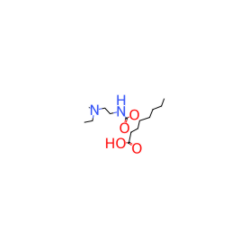 CCCCC(CCC(=O)O)OC(=O)NCCN(C)CC